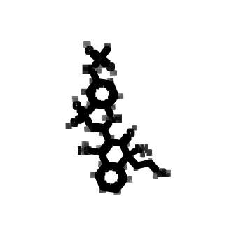 CC(C)(C)CC[C@@]1(N)C(=O)C(C2=NS(=O)(=O)c3cc(NS(C)(=O)=O)ccc3N2)=C(O)c2ccccc21